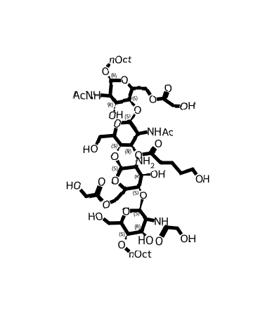 CCCCCCCCO[C@@H]1OC(COC(=O)CO)[C@@H](O[C@@H]2OC(CO)[C@@H](O[C@@H]3OC(COC(=O)CO)[C@@H](O[C@@H]4OC(CO)[C@@H](OCCCCCCCC)[C@H](O)C4NC(=O)CO)[C@H](O)C3N)[C@H](OC(=O)CCCCO)C2NC(C)=O)[C@H](O)C1NC(C)=O